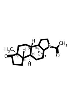 CC(=O)N1CC[C@@]2(C)C1CC[C@@H]1[C@@H]2CC[C@]2(C)C(=O)CC[C@@H]12